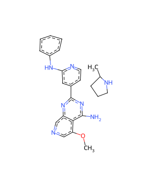 CC1CCCN1.COc1cncc2nc(-c3ccnc(Nc4ccccc4)c3)nc(N)c12